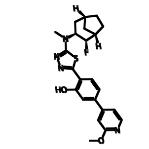 COc1cc(-c2ccc(-c3nnc(N(C)[C@H]4C[C@@H]5CC[C@@H](C5)[C@H]4F)s3)c(O)c2)ccn1